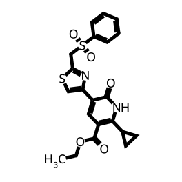 CCOC(=O)c1cc(-c2csc(CS(=O)(=O)c3ccccc3)n2)c(=O)[nH]c1C1CC1